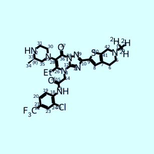 [2H]C([2H])([2H])N1CCc2cc(-c3nc4n(CC(=O)Nc5ccc(C(F)(F)F)cc5Cl)c(CC)c(N5CCN[C@H](C)C5)c(=O)n4n3)sc2C1